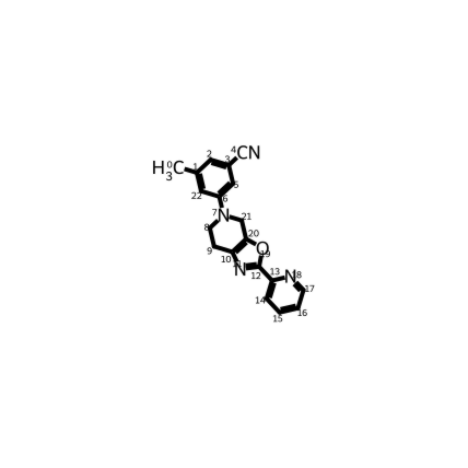 Cc1cc(C#N)cc(N2CCc3nc(-c4ccccn4)oc3C2)c1